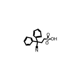 N#CC(CCS(=O)(=O)O)(c1ccccc1)c1ccccc1